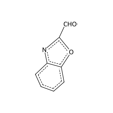 O=[C]c1nc2ccccc2o1